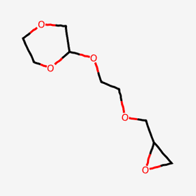 C(COC1COCCO1)OCC1CO1